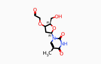 Cc1cn([C@H]2CC(OCC=O)[C@@H](CO)O2)c(=O)[nH]c1=O